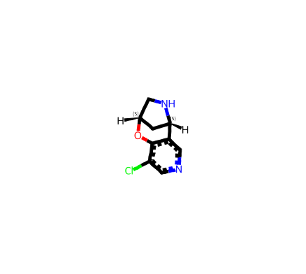 Clc1cncc2c1O[C@@H]1CN[C@H]2C1